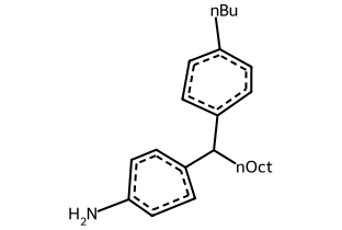 CCCCCCCCC(c1ccc(N)cc1)c1ccc(CCCC)cc1